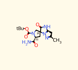 Cc1cc2n(n1)[C@@]1(C[C@@H](C(N)=O)N(C(=O)OC(C)(C)C)C1)C(=O)N2